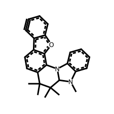 CN1c2ccccc2N2c3c(ccc4c3oc3ccc#cc34)C(C)(C)C(C)(C)C12